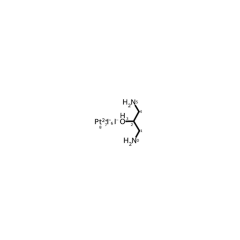 NCC(O)CN.[I-].[I-].[Pt+2]